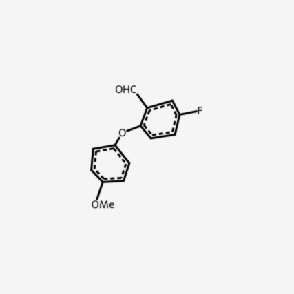 COc1ccc(Oc2ccc(F)cc2C=O)cc1